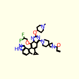 C=CC(=O)N1CC2(CCN(c3nc(OC4CCN(C)CC4)nc4c(OCC(F)F)c(-c5c(C)ccc6[nH]ncc56)c(C5CC5)cc34)CC2)C1